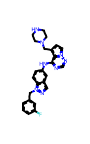 Fc1cccc(Cn2ncc3cc(Nc4ncnn5ccc(CN6CCNCC6)c45)ccc32)c1